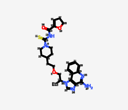 CCC(COCCC1CCN(C(=S)NC(=O)C2=CCCO2)CC1)n1cnc2c(N)nc3ccccc3c21